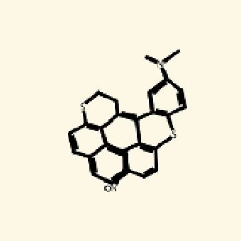 CN(C)c1ccc2c(c1)/C(=C1\CCSc3ccc4ccccc4c31)c1cc(N=O)ccc1S2